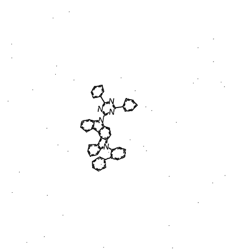 c1ccc(-c2nc(-c3ccccc3)nc(-n3c4ccccc4c4c5c6ccccc6n(-c6ccccc6-c6ccccc6)c5ccc43)n2)cc1